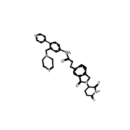 O=C1CCC(N2Cc3ccc(CCC(=O)Nc4ccc(-c5ccncc5)c(CN5CCSCC5)c4)cc3C2=O)C(=O)N1